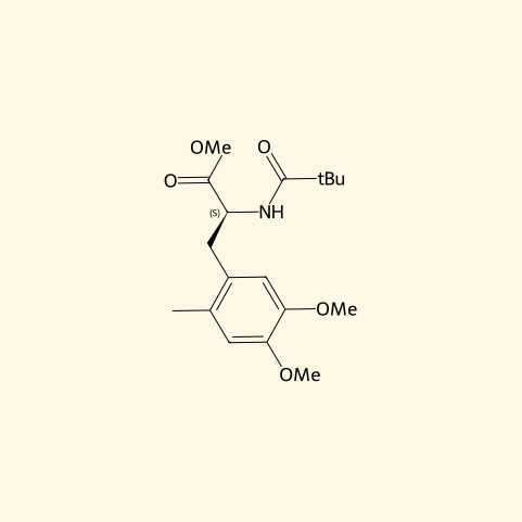 COC(=O)[C@H](Cc1cc(OC)c(OC)cc1C)NC(=O)C(C)(C)C